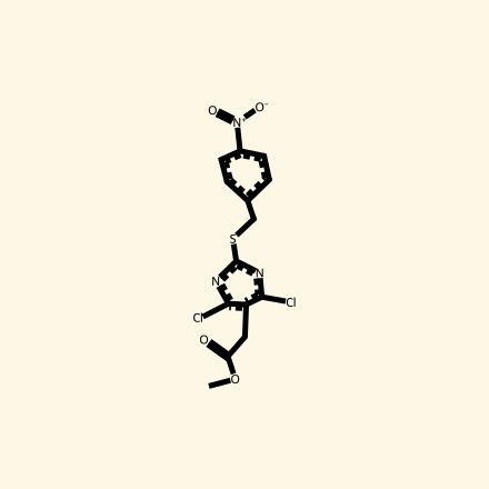 COC(=O)Cc1c(Cl)nc(SCc2ccc([N+](=O)[O-])cc2)nc1Cl